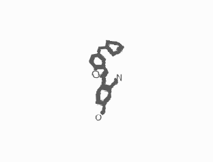 N#Cc1cc(C=O)ccc1-c1cc2cc(Cc3ccccc3)ccc2o1